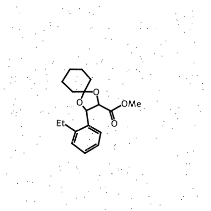 CCc1ccccc1C1OC2(CCCCC2)OC1C(=O)OC